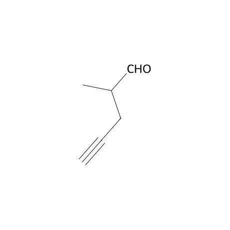 C#CCC(C)C=O